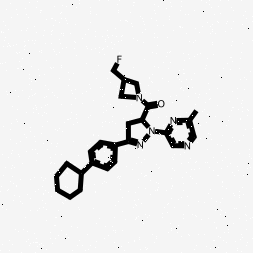 Cc1cncc(N2N=C(c3ccc(C4CCCCC4)cc3)CC2C(=O)N2CC(CF)C2)n1